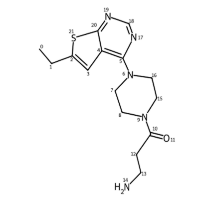 CCc1cc2c(N3CCN(C(=O)CCN)CC3)ncnc2s1